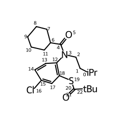 CC(C)CCN(C(=O)C1CCCCC1)c1ccc(Cl)cc1SC(=O)C(C)(C)C